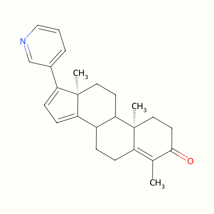 CC1=C2CCC3C4=CC=C(c5cccnc5)[C@@]4(C)CCC3[C@@]2(C)CCC1=O